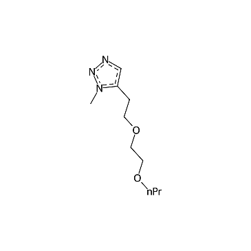 CCCOCCOCCc1cnnn1C